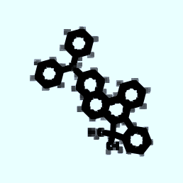 CC1(C)c2ccccc2-c2c1c1ccc3cc(N(c4ccccc4)c4ccccc4)ccc3c1c1ccccc21